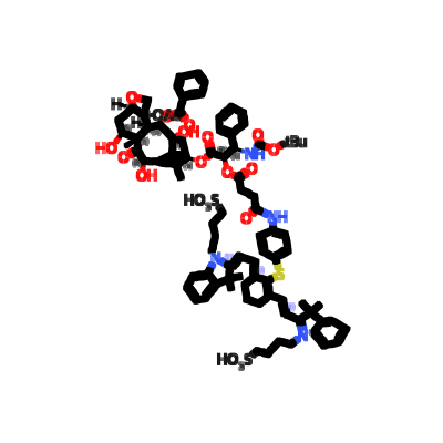 CC(=O)O[C@@]12CO[C@@H]1C[C@H](O)[C@@]1(C)C(=O)[C@H](O)C3=C(C)[C@@H](OC(=O)[C@H](OC(=O)CCC(=O)Nc4ccc(SC5=C(/C=C/C6=[N+](CCCCS(=O)(=O)O)c7ccccc7C6(C)C)CCC/C5=C\C=C5\N(CCCCS(=O)(=O)O)c6ccccc6C5(C)C)cc4)[C@@H](NC(=O)OC(C)(C)C)c4ccccc4)C[C@@](O)([C@@H](OC(=O)c4ccccc4)[C@H]21)C3(C)C